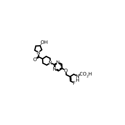 O=C(O)NC/C(=C\F)COc1cnc(N2CCC(C(=O)N3CC[C@H](O)C3)CC2)nc1